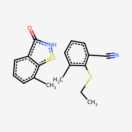 CCSc1c(C)cccc1C#N.Cc1cccc2c(=O)[nH]sc12